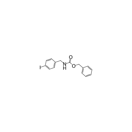 O=C(NCc1ccc(I)cc1)OCc1ccccc1